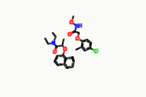 CCN(CC)C(=O)C(C)Oc1cccc2ccccc12.CONC(=O)COc1ccc(Cl)cc1C